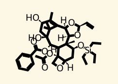 C=C[C@@H]1O[C@@H]2C3=C(C)[C@@H](O)C[C@@](O)([C@@H](OC(=O)c4ccccc4)[C@@H]4[C@]5(OC(C)=O)CO[C@@H]5C[C@H](O[Si](CC)(CC)CC)[C@@]4(C)[C@@H]2O1)C3(C)C